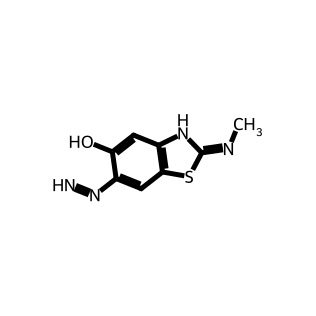 C/N=c1\[nH]c2cc(O)c(N=N)cc2s1